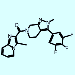 Cc1c(C(=O)N2CCc3c(nn(C)c3-c3cc(F)c(F)c(F)c3)C2)nc2ccccn12